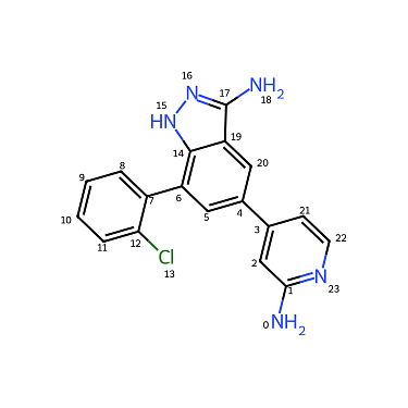 Nc1cc(-c2cc(-c3ccccc3Cl)c3[nH]nc(N)c3c2)ccn1